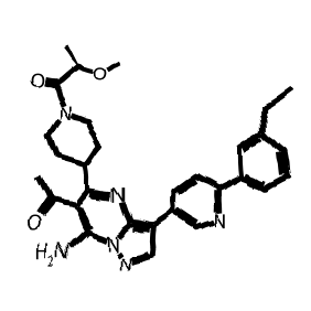 CCc1cccc(-c2ccc(-c3cnn4c(N)c(C(C)=O)c(C5CCN(C(=O)[C@@H](C)OC)CC5)nc34)cn2)c1